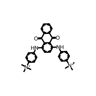 C[N+](C)(C)c1ccc(Nc2ccc(Nc3ccc([N+](C)(C)C)cc3)c3c2C(=O)c2ccccc2C3=O)cc1